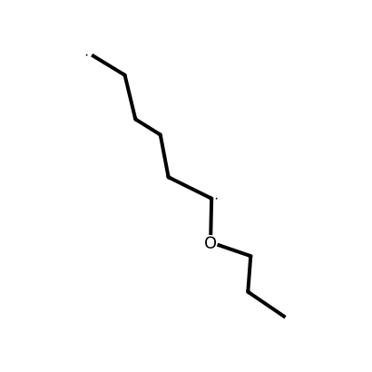 [CH2]CCCC[CH]OCCC